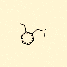 CC[CH2][In]([CH2]CC)[CH2]c1ccccc1CC(F)(F)F